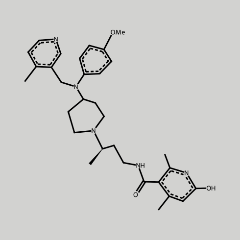 COc1ccc(N(Cc2cnccc2C)C2CCN([C@H](C)CCNC(=O)c3c(C)cc(O)nc3C)CC2)cc1